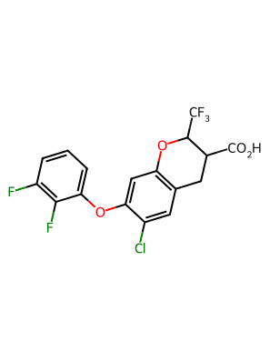 O=C(O)C1Cc2cc(Cl)c(Oc3cccc(F)c3F)cc2OC1C(F)(F)F